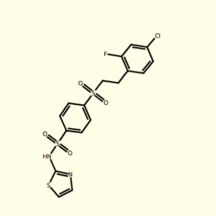 O=S(=O)(CCc1ccc(Cl)cc1F)c1ccc(S(=O)(=O)Nc2nccs2)cc1